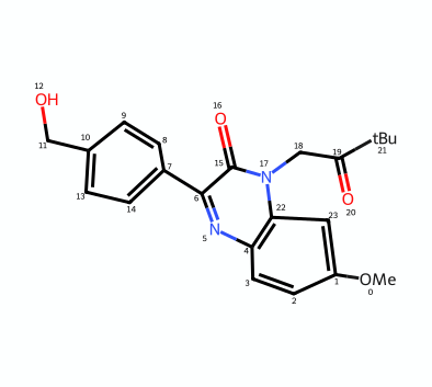 COc1ccc2nc(-c3ccc(CO)cc3)c(=O)n(CC(=O)C(C)(C)C)c2c1